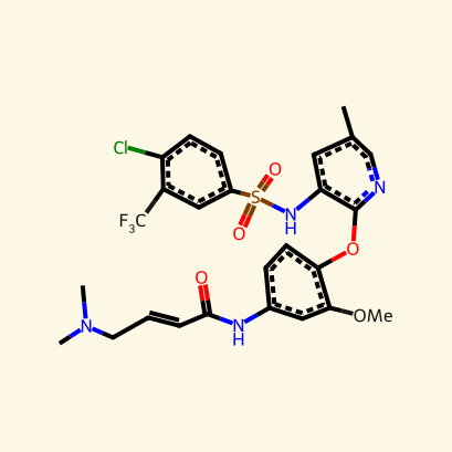 COc1cc(NC(=O)/C=C/CN(C)C)ccc1Oc1ncc(C)cc1NS(=O)(=O)c1ccc(Cl)c(C(F)(F)F)c1